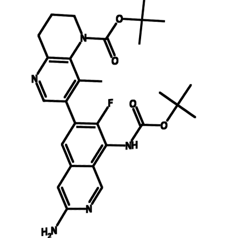 Cc1c(-c2cc3cc(N)ncc3c(NC(=O)OC(C)(C)C)c2F)cnc2c1N(C(=O)OC(C)(C)C)CCC2